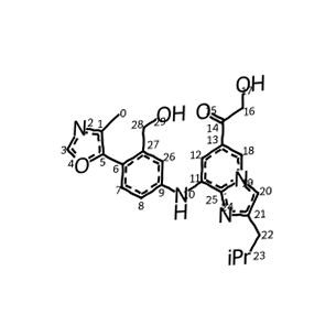 Cc1ncoc1-c1ccc(Nc2cc(C(=O)CO)cn3cc(CC(C)C)nc23)cc1CO